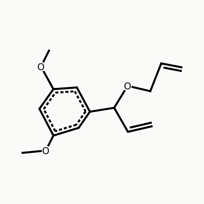 C=CCOC(C=C)c1cc(OC)cc(OC)c1